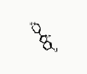 Clc1ccc2cc(C3=CCNCC3)[nH]c2c1